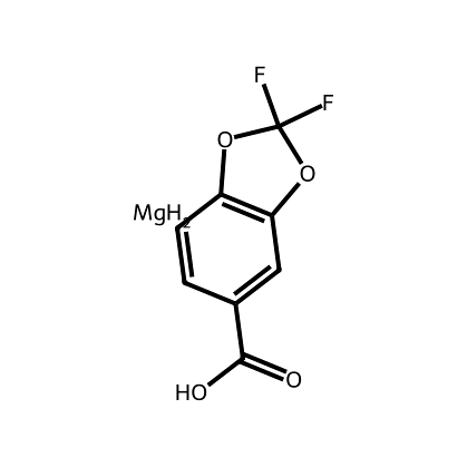 O=C(O)c1ccc2c(c1)OC(F)(F)O2.[MgH2]